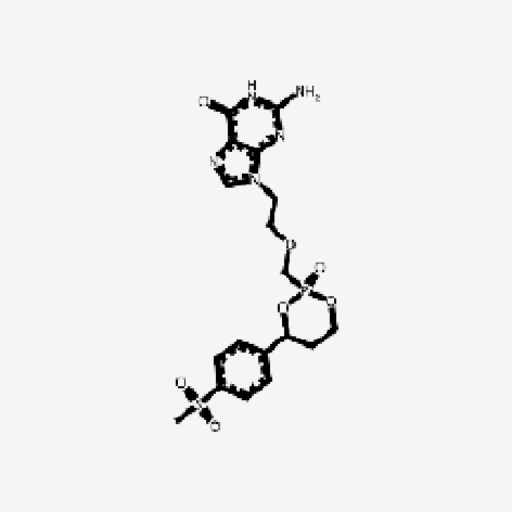 CS(=O)(=O)c1ccc(C2CCOP(=O)(COCCn3cnc4c(=O)[nH]c(N)nc43)O2)cc1